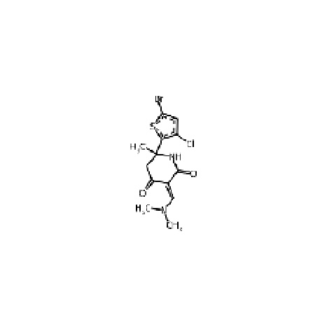 CN(C)C=C1C(=O)CC(C)(c2sc(Br)cc2Cl)NC1=O